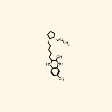 COC[C@H]1CCC[C@H]1CCCCCC1Nc2ccc(O)cc2NC1O